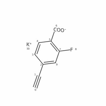 C#Cc1ccc(C(=O)[O-])c(F)c1.[K+]